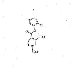 Cc1ccc(Cl)c(OC(=O)c2ccc(S(=O)(=O)O)cc2C(=O)O)c1